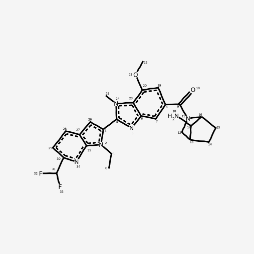 CCn1c(-c2nc3cc(C(=O)N4CC5CCC4C5N)cc(OC)c3n2C)cc2ccc(C(F)F)nc21